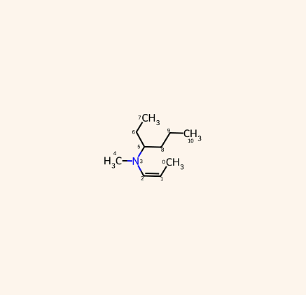 C/C=C\N(C)C(CC)CCC